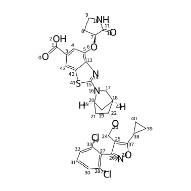 O=C(O)c1cc(O[C@H]2CCNC2=O)c2nc(N3C[C@@H]4C[C@H]3C[C@H]4OCc3c(-c4c(Cl)cccc4Cl)noc3C3CC3)sc2c1